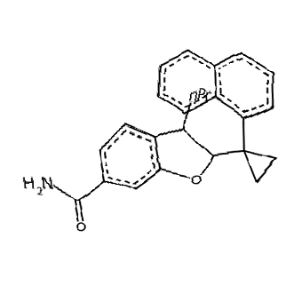 CCCC1c2ccc(C(N)=O)cc2OC1C1(c2cccc3ccccc23)CC1